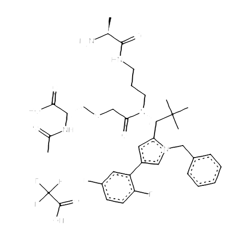 CC(=O)N[C@@H](CSCC(=O)N(CCCNC(=O)[C@H](C)N)[C@@H](c1cc(-c2cc(F)ccc2F)cn1Cc1ccccc1)C(C)(C)C)C(=O)O.O=C(O)C(F)(F)F